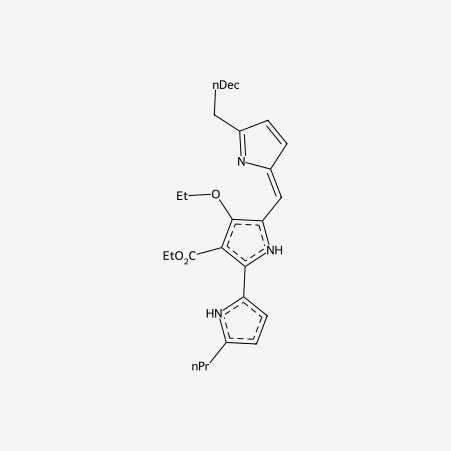 CCCCCCCCCCCC1=NC(=Cc2[nH]c(-c3ccc(CCC)[nH]3)c(C(=O)OCC)c2OCC)C=C1